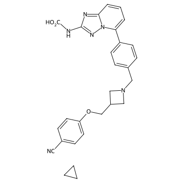 C1CC1.N#Cc1ccc(OCC2CN(Cc3ccc(-c4cccc5nc(NC(=O)O)nn45)cc3)C2)cc1